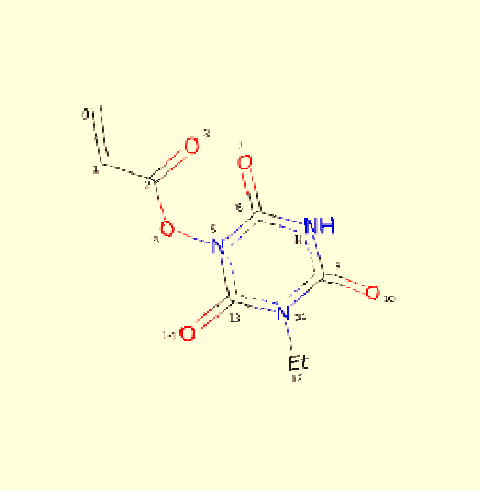 C=CC(=O)On1c(=O)[nH]c(=O)n(CC)c1=O